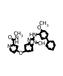 CNC(=O)c1cc(Oc2ccc3c(c2)nc(Nc2cc(-c4ccccc4)ccc2OC)n3C)ccn1